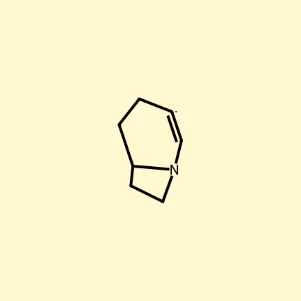 [C]1=CN2CCC2CC1